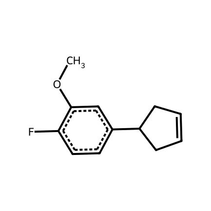 COc1cc(C2CC=CC2)ccc1F